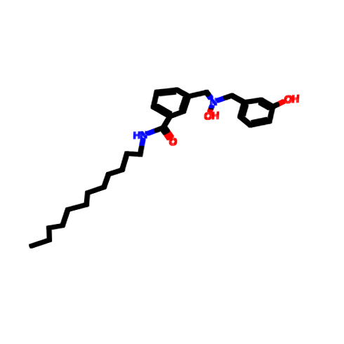 CCCCCCCCCCCCNC(=O)c1cccc(CN(O)Cc2cccc(O)c2)c1